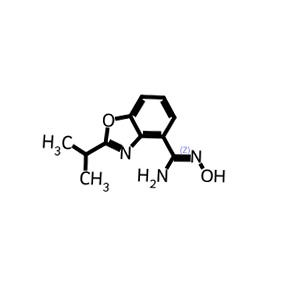 CC(C)c1nc2c(/C(N)=N/O)cccc2o1